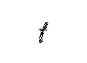 O=C(Nc1ccc(N2CCN(c3ccccn3)CC2)nc1)c1ccc(N2CCOCC2)cc1